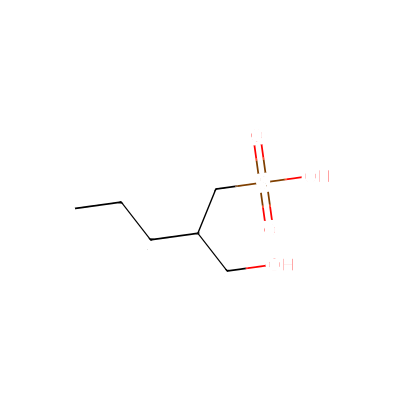 CCC[C](CO)CS(=O)(=O)O